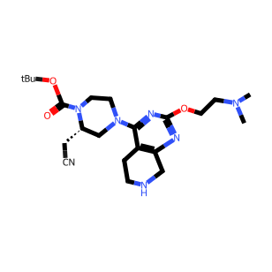 CN(C)CCOc1nc2c(c(N3CCN(C(=O)OC(C)(C)C)[C@@H](CC#N)C3)n1)CCNC2